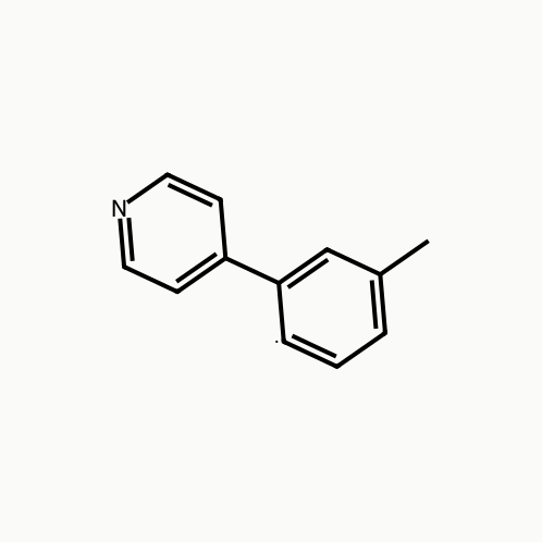 Cc1cc[c]c(-c2ccncc2)c1